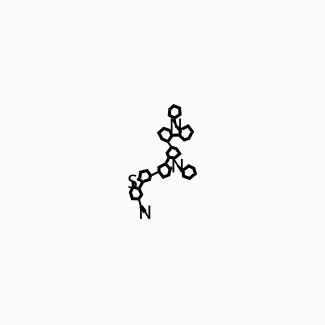 N#Cc1ccc2sc3ccc(-c4ccc5c(c4)c4cc(-c6cccc7c6c6ccccc6n7-c6ccccc6)ccc4n5-c4ccccc4)cc3c2c1